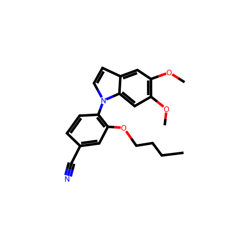 CCCCOc1cc(C#N)ccc1-n1ccc2cc(OC)c(OC)cc21